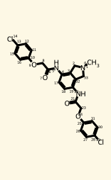 CN1Cc2c(NC(=O)COc3ccc(Cl)cc3)ccc(NC(=O)COc3ccc(Cl)cc3)c2C1